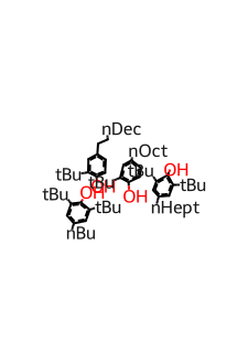 CCCCCCCCCCCCc1ccc(O)c(C(C)(C)C)c1.CCCCCCCCc1ccc(O)c(C(C)(C)C)c1.CCCCCCCc1cc(C(C)(C)C)c(O)c(C(C)(C)C)c1.CCCCc1cc(C(C)(C)C)c(O)c(C(C)(C)C)c1